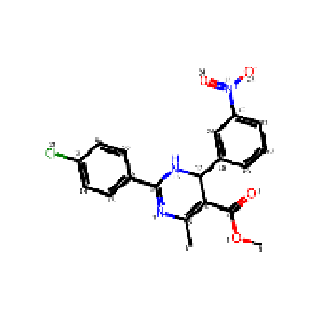 COC(=O)C1=C(C)N=C(c2ccc(Cl)cc2)NC1c1cccc([N+](=O)[O-])c1